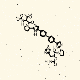 COC(=O)NC(C(=O)N1CCCC1c1ncc(-c2ccc(-c3ccc(-c4cnc([C@@H]5CCCN5C(=O)[C@H](Cc5cn(C)cn5)OC(N)=O)[nH]4)cc3)cc2)[nH]1)[C@@H](C)OC